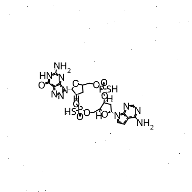 Nc1nc2c(nnn2[C@@H]2OC3COP(=O)(S)O[C@H]4C[C@H](n5ccc6c(N)ncnc65)O[C@@H]4COP(=O)(S)O[C@H]2C3)c(=O)[nH]1